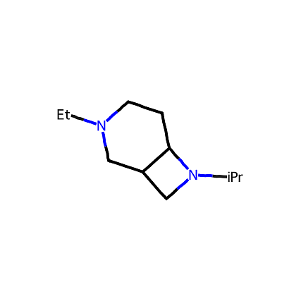 CCN1CCC2C(C1)CN2C(C)C